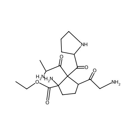 CCOC(=O)C1(N)CCC(C(=O)CN)C1(C(=O)C(C)N)C(=O)C1CCCN1